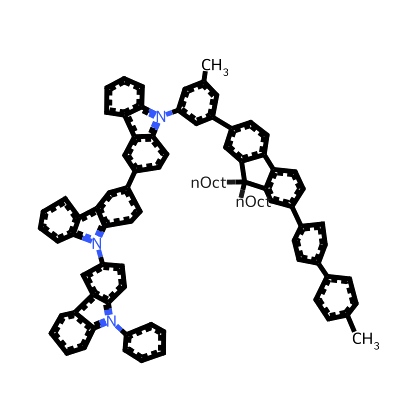 CCCCCCCCC1(CCCCCCCC)c2cc(-c3ccc(-c4ccc(C)cc4)cc3)ccc2-c2ccc(-c3cc(C)cc(-n4c5ccccc5c5cc(-c6ccc7c(c6)c6ccccc6n7-c6ccc7c(c6)c6ccccc6n7-c6ccccc6)ccc54)c3)cc21